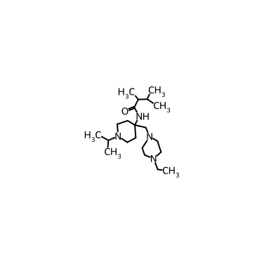 CCN1CCN(CC2(NC(=O)C(C)C(C)C)CCN(C(C)C)CC2)CC1